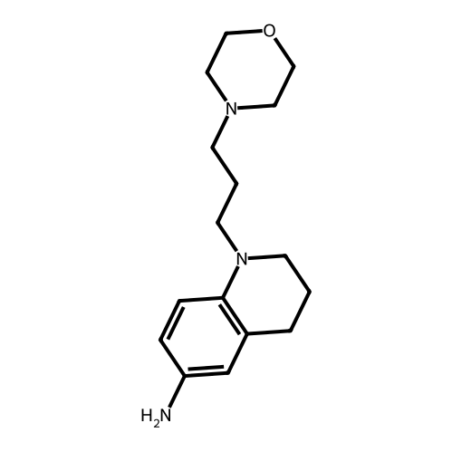 Nc1ccc2c(c1)CCCN2CCCN1CCOCC1